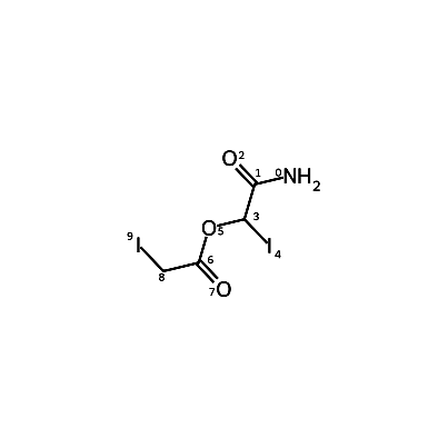 NC(=O)C(I)OC(=O)CI